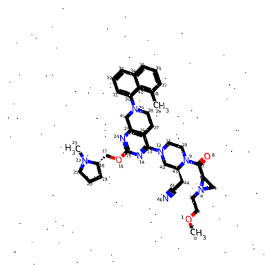 COCCN1CC1C(=O)N1CCN(c2nc(OC[C@@H]3CCCN3C)nc3c2CCN(c2cccc4cccc(C)c24)C3)C[C@@H]1CC#N